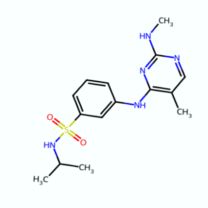 CNc1ncc(C)c(Nc2cccc(S(=O)(=O)NC(C)C)c2)n1